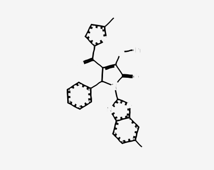 Cc1ccc(C(=O)C2=C(OC(C)C)C(=O)N(c3nc4ccc(F)cc4s3)C2c2ccccc2)o1